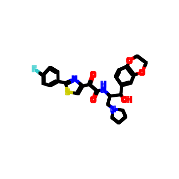 O=C(NC(CN1CCCC1)C(O)c1ccc2c(c1)OCCO2)C(=O)c1csc(-c2ccc(F)cc2)n1